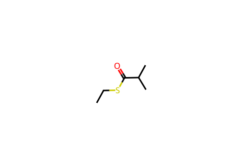 CCSC(=O)C(C)C